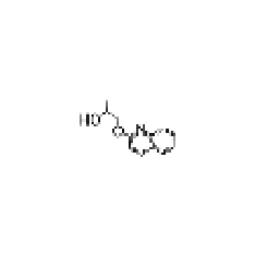 CC(O)COc1ccc2ccccc2n1